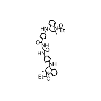 CCC(=O)N1c2ccccc2[C@H](Nc2ccc(NC(=O)CNC(=O)c3ccc(N[C@@H]4C[C@H](C)N(C(=O)CC)c5ccccc54)cc3)cc2)C[C@@H]1C